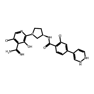 N=C(N)c1c(Cl)cnc(N2CC[C@@H](NC(=O)c3ccc(C4=CNNC=C4)cc3Cl)C2)c1O